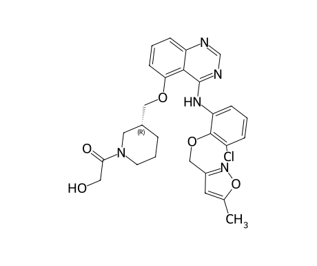 Cc1cc(COc2c(Cl)cccc2Nc2ncnc3cccc(OC[C@@H]4CCCN(C(=O)CO)C4)c23)no1